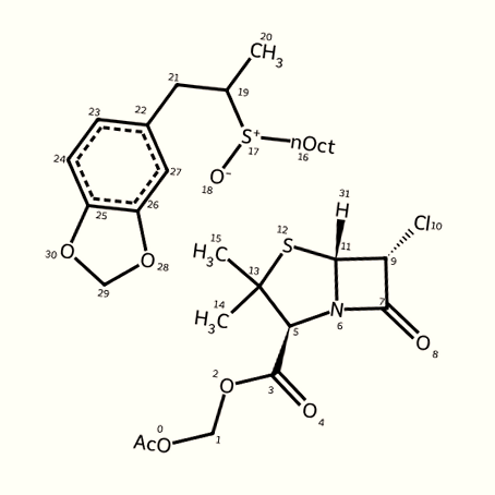 CC(=O)OCOC(=O)[C@@H]1N2C(=O)[C@@H](Cl)[C@H]2SC1(C)C.CCCCCCCC[S+]([O-])C(C)Cc1ccc2c(c1)OCO2